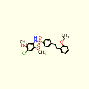 CCOc1ccccc1CCc1ccc(S(=O)(=O)Nc2cc(OC)c(Cl)cc2OC)cc1